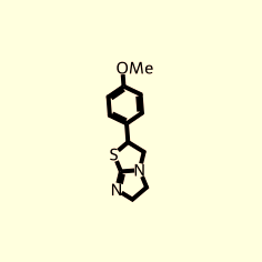 COc1ccc(C2CN3CCN=C3S2)cc1